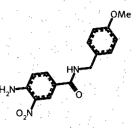 COc1ccc(CNC(=O)c2ccc(N)c([N+](=O)[O-])c2)cc1